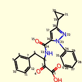 O=C(O)C(=O)C(Cc1ccccc1)NC(=O)c1cc(C2CC2)nn1-c1ccccc1